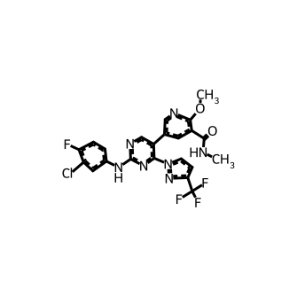 CNC(=O)c1cc(-c2cnc(Nc3ccc(F)c(Cl)c3)nc2-n2ccc(C(F)(F)F)n2)cnc1OC